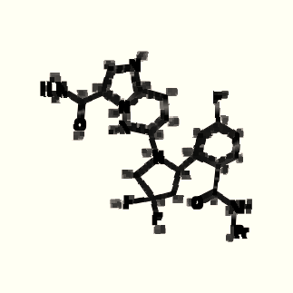 CC(C)NC(=O)c1ccc(F)cc1C1CC(F)(F)CN1c1ccc2ncc(C(N)=O)n2n1